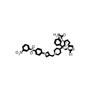 CCc1nccn1C[C@@](c1cccc(F)c1)(C1CCN(CC2CN(c3ccc(S(=O)(=O)c4cccc([N+](=O)[O-])c4)cc3)C2)CC1)[C@H]1CCC[C@@H]1OC(N)=O